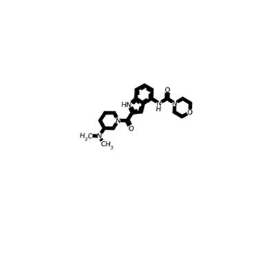 CN(C)C1CCCN(C(=O)c2cc3c(NC(=O)N4CCOCC4)cccc3[nH]2)C1